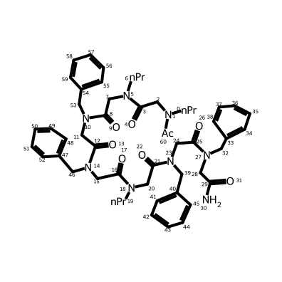 CCCN(CC(=O)N(CCC)CC(=O)N(CC(=O)N(CC(=O)N(CCC)CC(=O)N(CC(=O)N(CC(N)=O)Cc1ccccc1)Cc1ccccc1)Cc1ccccc1)Cc1ccccc1)C(C)=O